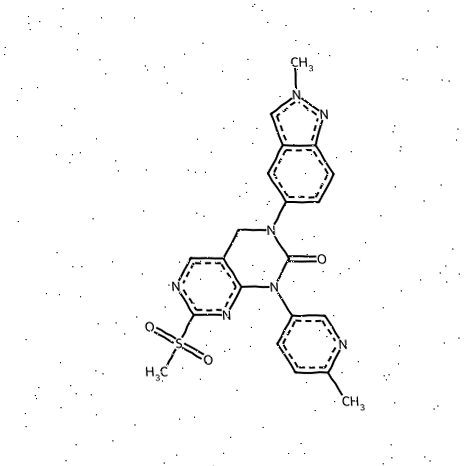 Cc1ccc(N2C(=O)N(c3ccc4nn(C)cc4c3)Cc3cnc(S(C)(=O)=O)nc32)cn1